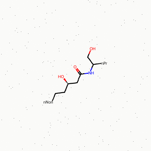 CCCCCCCCCCC[C@@H](O)CC(=O)NC(CO)CCC